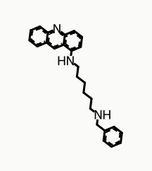 c1ccc(CNCCCCCCNc2cccc3nc4ccccc4cc23)cc1